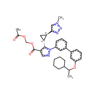 CC(Oc1cccc(-c2cccc(-n3ncc(C(=O)OCOC(=O)C(C)(C)C)c3[C@@H]3C[C@H]3c3cn(C)nn3)c2)c1)C1CCCCC1